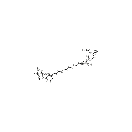 CC(=O)O[N+]1(Cc2cccc(CCCCOCCCCCCNC[C@@H](O)c3ccc(O)c(CO)c3)c2)CC(=O)NC1=O